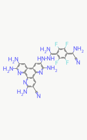 N#CC(N)=c1c(F)c(F)c(=C(N)NNc2cc3c4cc(N)c(N)nc4c4nc(N)c(C#N)cc4c3nc2N)c(F)c1F